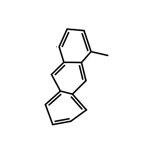 Cc1cc[c]c2cc3ccccc3cc12